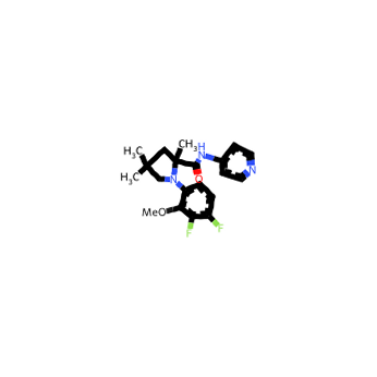 COc1c(N2CC(C)(C)CC2(C)C(=O)Nc2ccncc2)ccc(F)c1F